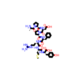 CSCC[C@H](NC(=O)[C@H](CCCNC(=N)N)NC(=O)[C@H](Cc1ccccc1)NC(=O)[C@@H]1CCCN1C(=O)[C@H](CC(=O)O)NC(=O)[C@@H]1CCCN1C(=O)[C@H](C)N)C(=O)N[C@@H](Cc1ccc(O)cc1)C(=O)O